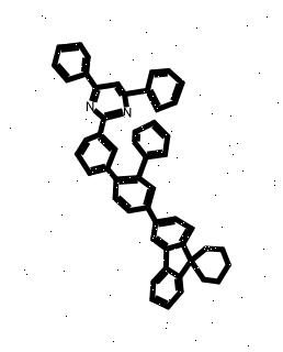 c1ccc(-c2cc(-c3ccccc3)nc(-c3cccc(-c4ccc(-c5ccc6c(c5)-c5ccccc5C65CCCCC5)cc4-c4ccccc4)c3)n2)cc1